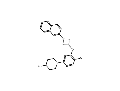 CC(=O)C1CCN(c2ncc(Br)c(OC3CN(c4ccc5ccccc5n4)C3)n2)CC1